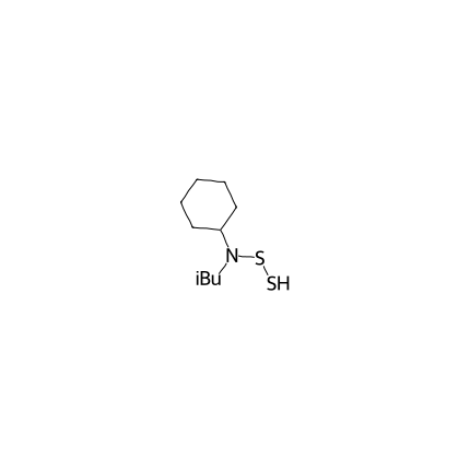 CCC(C)N(SS)C1CCCCC1